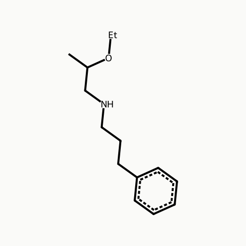 CCOC(C)CNCCCc1ccccc1